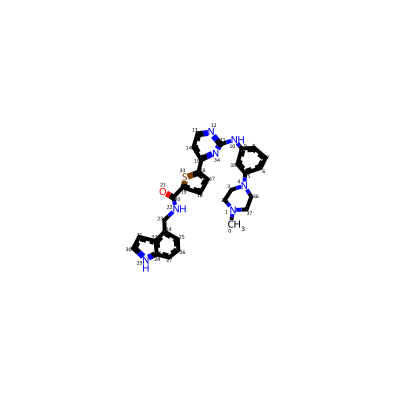 CN1CCN(c2cccc(Nc3nccc(-c4ccc(C(=O)NCc5cccc6[nH]ccc56)s4)n3)c2)CC1